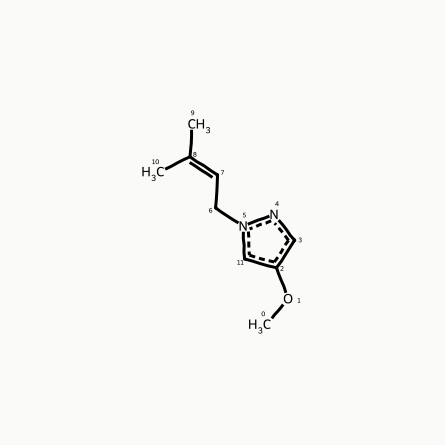 COc1cnn(CC=C(C)C)c1